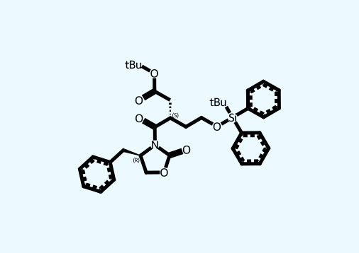 CC(C)(C)OC(=O)C[C@H](CCO[Si](c1ccccc1)(c1ccccc1)C(C)(C)C)C(=O)N1C(=O)OC[C@H]1Cc1ccccc1